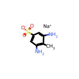 Cc1c(N)cc(S(=O)(=O)[O-])cc1N.[Na+]